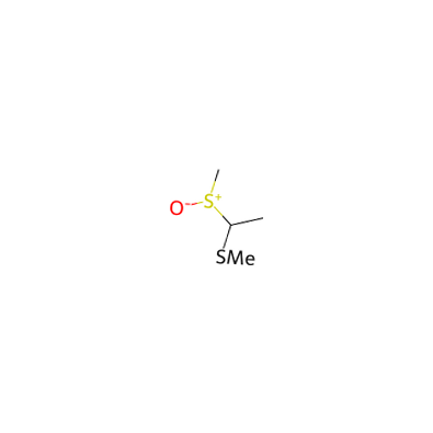 CSC(C)[S+](C)[O-]